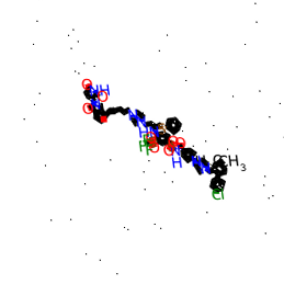 CC1(C)CCC(c2ccc(Cl)cc2)=C(CN2CCN(c3ccc(C(=O)NS(=O)(=O)c4ccc(NC(CCN5CCN(CCCC#Cc6cccc7c6CN(C6CCC(=O)NC6=O)C7=O)CC5)CSc5ccccc5)c(S(=O)(=O)C(F)(F)F)c4)cc3)CC2)C1